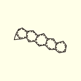 c1ccc2cc3cc4cc5c6c(ccc5cc4cc3cc2c1)C6